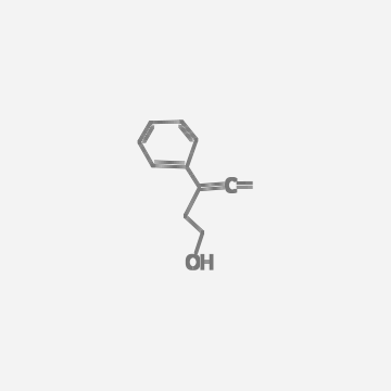 C=C=C(CCO)c1ccccc1